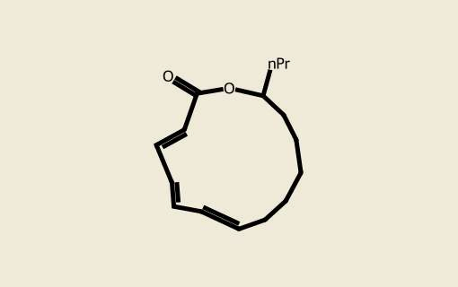 CCCC1CCCCC/C=C/C=C/C=C/C(=O)O1